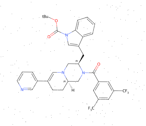 CC(C)(C)OC(=O)n1cc(C[C@@H]2CN3C=C(c4cccnc4)CC[C@@H]3CN2C(=O)c2cc(C(F)(F)F)cc(C(F)(F)F)c2)c2ccccc21